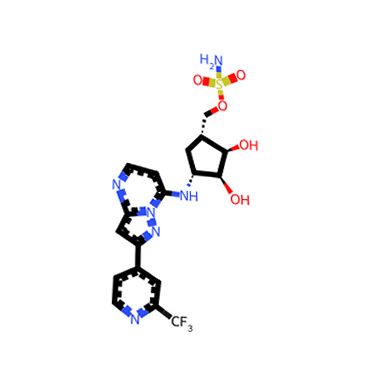 NS(=O)(=O)OC[C@H]1C[C@@H](Nc2ccnc3cc(-c4ccnc(C(F)(F)F)c4)nn23)[C@H](O)[C@@H]1O